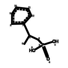 CC(CP(=O)(O)O)c1ccccc1